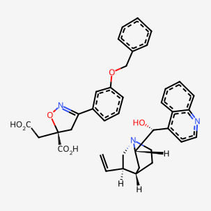 C=C[C@H]1C[N@]2CC[C@H]1C[C@H]2[C@H](O)c1ccnc2ccccc12.O=C(O)C[C@@]1(C(=O)O)CC(c2cccc(OCc3ccccc3)c2)=NO1